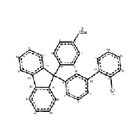 CC(C)(C)c1ccc(C2(c3cccc(-c4ccccc4Cl)c3)c3ccccc3-c3ccccc32)cc1